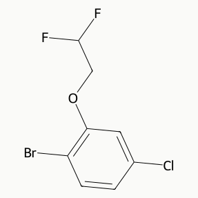 FC(F)COc1cc(Cl)ccc1Br